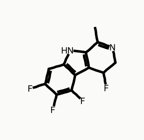 CC1=NCC(F)c2c1[nH]c1cc(F)c(F)c(F)c21